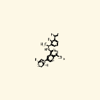 Cc1nnc(NC(C)c2cccc(C(F)F)c2F)c2cc(N3C[C@H]4C[C@@H]3CO4)cnc12